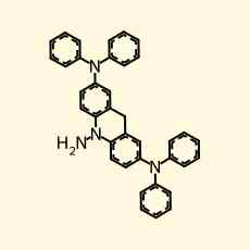 NN1c2ccc(N(c3ccccc3)c3ccccc3)cc2Cc2cc(N(c3ccccc3)c3ccccc3)ccc21